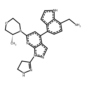 C[C@@H]1COCCN1c1cc(-c2ccc(CN)c3[nH]ccc23)c2cnn(C3=NNCC3)c2n1